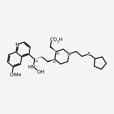 COc1ccc2nccc([C@H](CC[C@@H]3CCN(CCSC4CCCC4)C[C@@H]3CC(=O)O)NO)c2c1